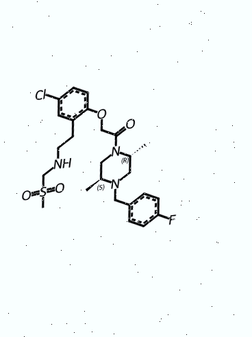 C[C@@H]1CN(Cc2ccc(F)cc2)[C@@H](C)CN1C(=O)COc1ccc(Cl)cc1CCNCS(C)(=O)=O